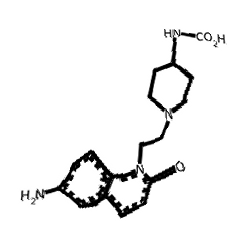 Nc1ccc2c(ccc(=O)n2CCN2CCC(NC(=O)O)CC2)c1